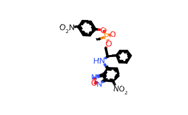 CP(=O)(OCC(Nc1ccc([N+](=O)[O-])c2nonc12)c1ccccc1)Oc1ccc([N+](=O)[O-])cc1